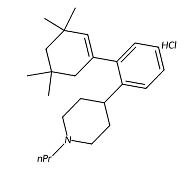 CCCN1CCC(c2ccccc2C2=CC(C)(C)CC(C)(C)C2)CC1.Cl